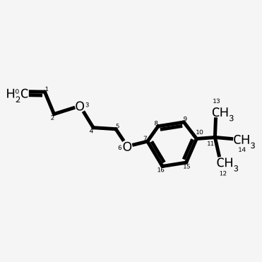 C=CCOCCOc1ccc(C(C)(C)C)cc1